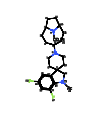 CCOC(=O)N1C2CCC(N3CCC4(CC3)CN(C(C)=O)c3c(F)cc(F)cc34)CCC1CC2